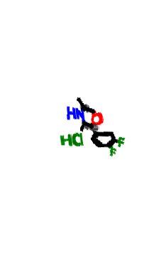 C[C@H]1CO[C@H](c2ccc(F)c(F)c2)[C@@H](C)N1.Cl